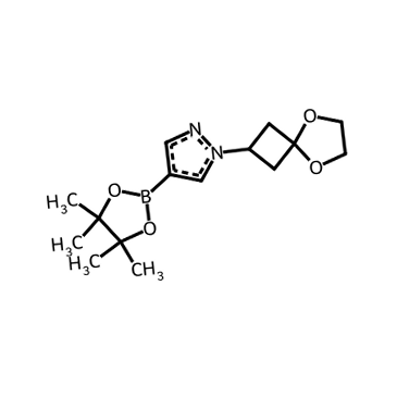 CC1(C)OB(c2cnn(C3CC4(C3)OCCO4)c2)OC1(C)C